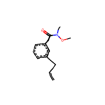 C=CCc1cccc(C(=O)N(C)OC)c1